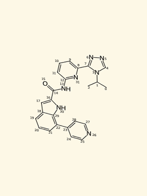 CC(C)n1cnnc1-c1cccc(NC(=O)c2cc3cccc(-c4ccncc4)c3[nH]2)n1